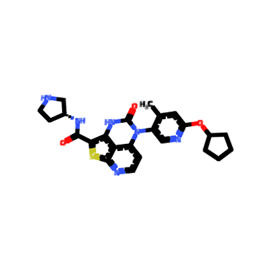 Cc1cc(OC2CCCC2)ncc1N1C(=O)Nc2c(C(=O)N[C@@H]3CCNC3)sc3nccc1c23